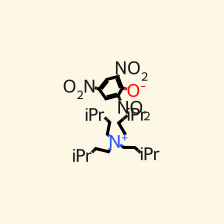 CC(C)CC[N+](CCC(C)C)(CCC(C)C)CCC(C)C.O=[N+]([O-])c1cc([N+](=O)[O-])c([O-])c([N+](=O)[O-])c1